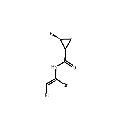 CC/C=C(\Br)NC(=O)[C@@H]1C[C@@H]1F